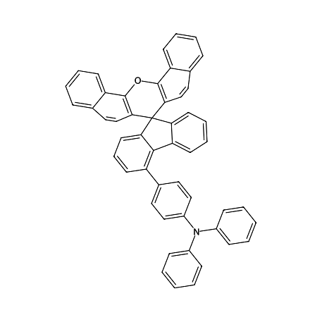 c1ccc(N(c2ccccc2)c2ccc(-c3cccc4c3-c3ccccc3C43c4ccc5ccccc5c4Oc4c3ccc3ccccc43)cc2)cc1